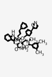 Cc1cc(C)cc(C(=O)N(C)[C@@H](Cc2ccc(-c3ccno3)cc2)C(=O)N([C@@H](Cc2c[nH]c3ccccc23)C(N)=O)S(=O)(=O)CC=Cc2ccccc2)c1